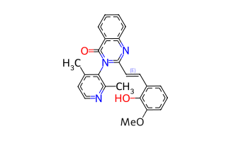 COc1cccc(/C=C/c2nc3ccccc3c(=O)n2-c2c(C)ccnc2C)c1O